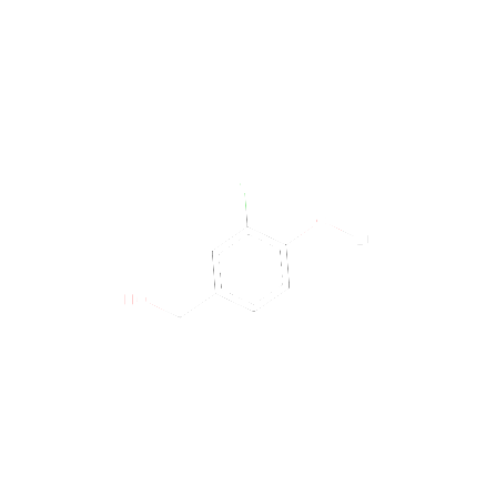 CCOc1ccc(CO)cc1Cl